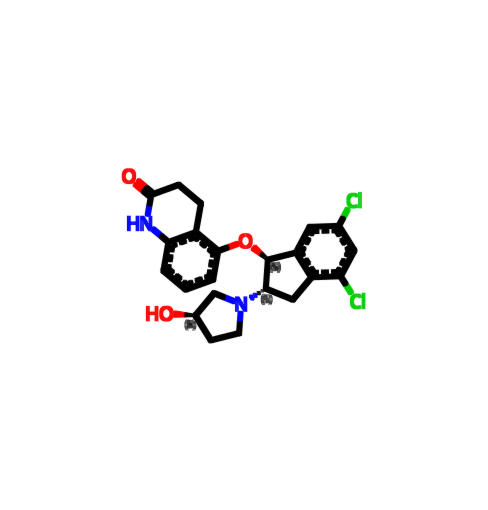 O=C1CCc2c(cccc2O[C@H]2c3cc(Cl)cc(Cl)c3C[C@@H]2N2CC[C@@H](O)C2)N1